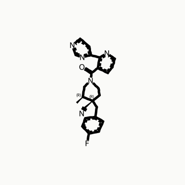 C[C@H]1CN(C(=O)c2cccnc2-c2ccncn2)CC[C@]1(C#N)Cc1ccc(F)cc1